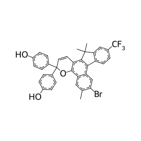 Cc1cc2c3c(c4c(c2cc1Br)-c1ccc(C(F)(F)F)cc1C4(C)C)C=CC(c1ccc(O)cc1)(c1ccc(O)cc1)O3